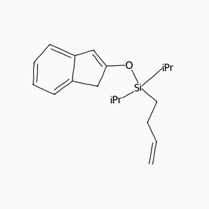 C=CCC[Si](OC1=Cc2ccccc2C1)(C(C)C)C(C)C